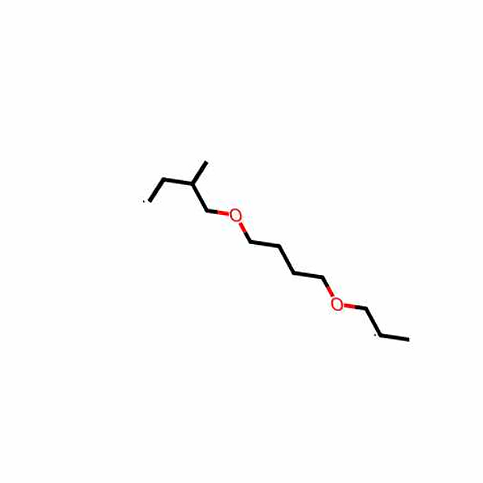 [CH2]CC(C)COCCCCOC[CH]C